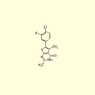 Cc1nc2sc(-c3ccc(Cl)c(F)c3)c(C)c2c(=O)[nH]1